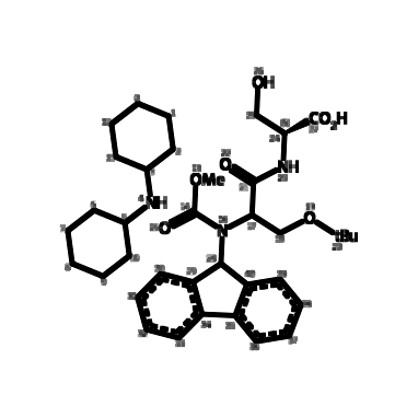 C1CCC(NC2CCCCC2)CC1.COC(=O)N(C(COC(C)(C)C)C(=O)N[C@@H](CO)C(=O)O)C1c2ccccc2-c2ccccc21